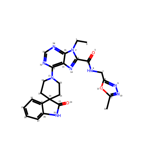 CCn1c(C(=O)NCc2nnc(C)o2)nc2c(N3CCC4(CC3)C(=O)Nc3ccccc34)ncnc21